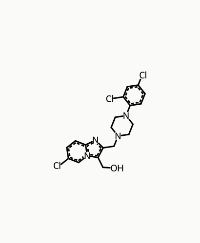 OCc1c(CN2CCN(c3ccc(Cl)cc3Cl)CC2)nc2ccc(Cl)cn12